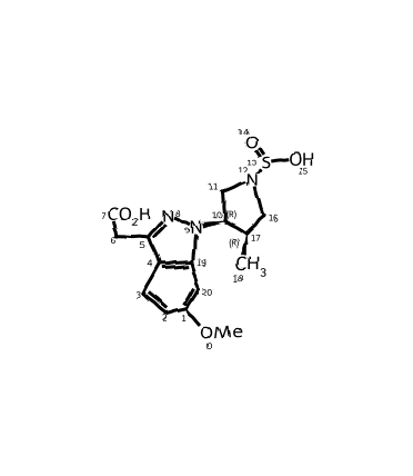 COc1ccc2c(CC(=O)O)nn([C@H]3CN(S(=O)O)C[C@H]3C)c2c1